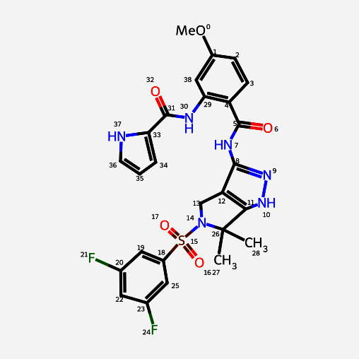 COc1ccc(C(=O)Nc2n[nH]c3c2CN(S(=O)(=O)c2cc(F)cc(F)c2)C3(C)C)c(NC(=O)c2ccc[nH]2)c1